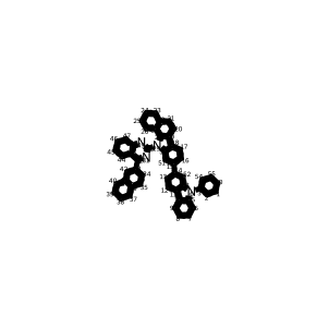 c1ccc(-n2c3ccccc3c3ccc(-c4ccc5c6ccc7ccccc7c6n(-c6nc(-c7ccc8ccccc8c7)c7ccccc7n6)c5c4)cc32)cc1